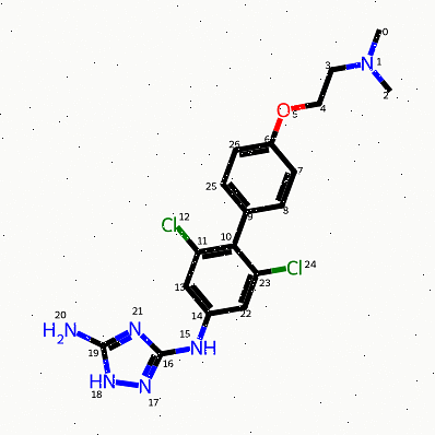 CN(C)CCOc1ccc(-c2c(Cl)cc(Nc3n[nH]c(N)n3)cc2Cl)cc1